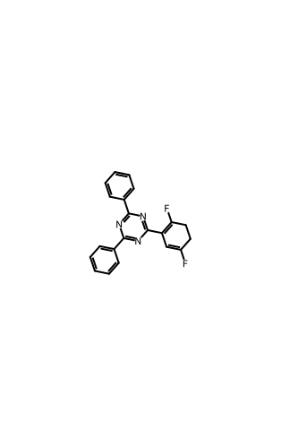 FC1=CC(c2nc(-c3ccccc3)nc(-c3ccccc3)n2)=C(F)CC1